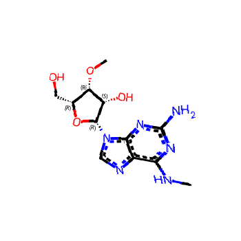 CNc1nc(N)nc2c1ncn2[C@@H]1O[C@H](CO)[C@H](OC)[C@@H]1O